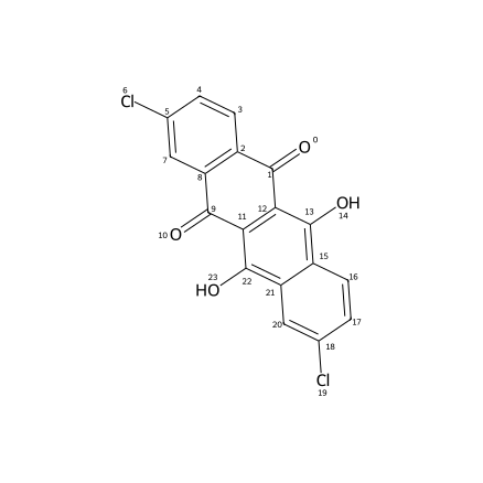 O=C1c2ccc(Cl)cc2C(=O)c2c1c(O)c1ccc(Cl)cc1c2O